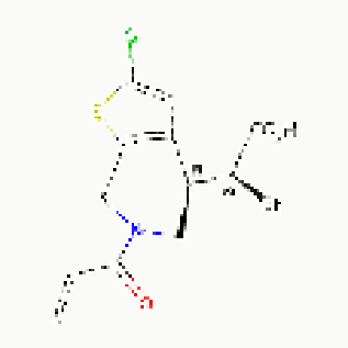 C=CC(=O)N1Cc2sc(Cl)cc2[C@@H]([C@H](CC)C(=O)O)C1